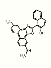 CBc1ccc2c3ccc(C)cc3c3nc(-c4c(O)ccc5ccccc45)oc3c2c1